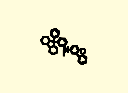 IN(c1cccc(C2(c3ccccc3)C3CCCCC3C3CCCCC32)c1)c1ccc2oc3ccccc3c2c1